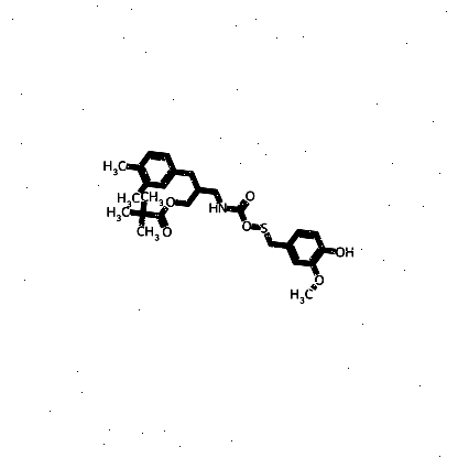 COc1cc(CSOC(=O)NCC(COC(=O)C(C)(C)C)Cc2ccc(C)c(C)c2)ccc1O